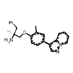 Cc1cc(-c2cnn3ccccc23)ccc1OC[C@@](C)(N)CC(C)C